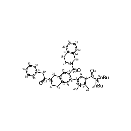 CCCCN(CCCC)C(=O)c1cc(-c2cc3c(cc2C(=O)N2CCc4ccccc4C2)CN(C(=O)Cc2ccccc2)CC3)n(C)c1C